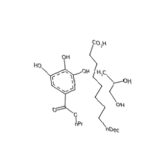 CC(O)CO.CCCCCCCCCCCCCCCCCC(=O)O.CCCOC(=O)c1cc(O)c(O)c(O)c1